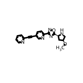 CO[C@@H]1CN[C@H](c2nc(-c3ccc(C#Cc4ccccn4)cn3)no2)C1